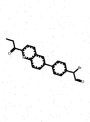 CCC(=O)c1ccc2cc(-c3ccc(C(Br)C=O)cc3)ccc2n1